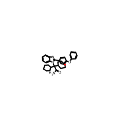 NC(=O)C(C1CCCCC1)(C1CCCCC1)n1c(-c2ccc(Oc3ccccc3)cc2)nc2ccccc21